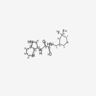 O=C(NCC1CCCC(F)(F)C1)C(=O)Nc1c[nH]c2cccnc12